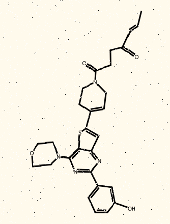 C/C=C/C(=O)CCC(=O)N1CC=C(c2cc3nc(-c4cccc(O)c4)nc(N4CCOCC4)c3s2)CC1